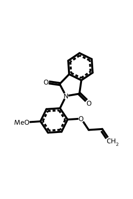 C=CCOc1ccc(OC)cc1N1C(=O)c2ccccc2C1=O